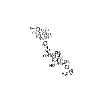 Cc1ncsc1-c1ccc([C@H](C)NC(=O)[C@@H]2C[C@@H](O)CN2C(=O)[C@@H](NC(=O)CC2(CN3CCN(c4ccc(C(=O)NC5C(C)(C)C(Oc6ccc(C#N)c(Cl)c6)C5(C)C)cn4)CC3)COC2)C(C)(C)C)cc1